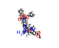 Cc1ccn(-c2cc(C(=O)OI)ccc2[C@@H](Oc2cc(N3CCC4(CC3)C[C@@H](C(=O)OCc3ccccc3)N(C(=O)OCc3ccccc3)C4)nc(N)n2)C(F)(F)F)n1